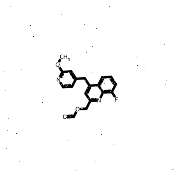 COc1cc(Cc2cc(COC=O)nc3c(F)cccc23)ccn1